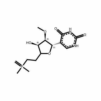 C=P(C)(C)CCC1O[C@@H](c2c[nH]c(=O)[nH]c2=O)[C@H](OC)[C@@H]1O